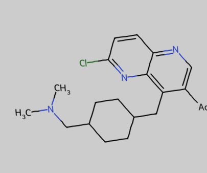 CC(=O)c1cnc2ccc(Cl)nc2c1CC1CCC(CN(C)C)CC1